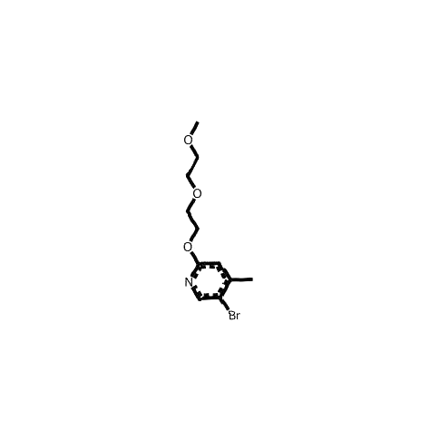 COCCOCCOc1cc(C)c(Br)cn1